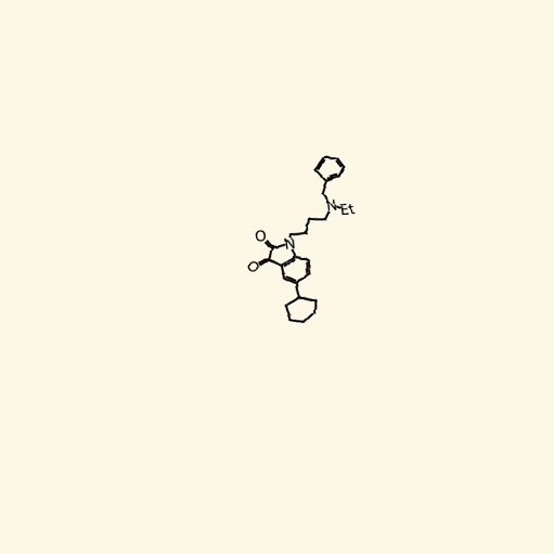 CCN(CCCCN1C(=O)C(=O)c2cc(C3CCCCC3)ccc21)Cc1ccccc1